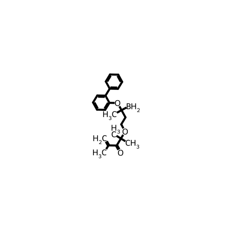 BC(C)(CCOC(C)(C)C(=O)C(=C)C)Oc1ccccc1-c1ccccc1